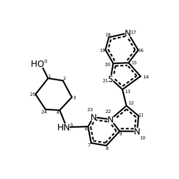 OC1CCC(Nc2ccc3ncc(-c4cc5cnccc5s4)n3n2)CC1